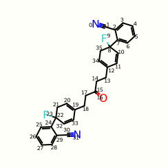 N#Cc1ccccc1C1(F)C=CC(CCC(=O)CCC2=CCC(F)(c3ccccc3C#N)C=C2)=CC1